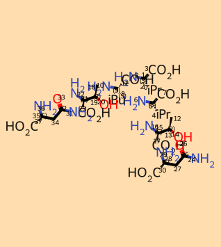 CC(C)[C@H](N)C(=O)O.CC(C)[C@H](N)C(=O)O.CC[C@H](C)[C@H](N)C(=O)O.C[C@@H](O)[C@H](N)C(=O)O.C[C@@H](O)[C@H](N)C(=O)O.NC(=O)C[C@H](N)C(=O)O.NC(=O)C[C@H](N)C(=O)O